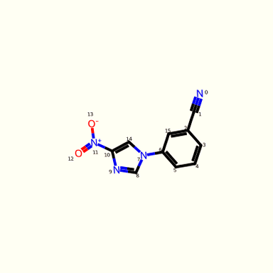 N#Cc1cccc(-n2cnc([N+](=O)[O-])c2)c1